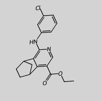 CCOC(=O)c1cnc(Nc2cccc(Cl)c2)c2c1C1CCC2C1